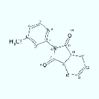 Cc1ccnc(N2C(=O)C3CC=CCC3C2=O)c1